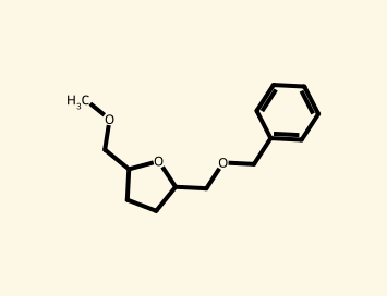 COCC1CCC(COCc2ccccc2)O1